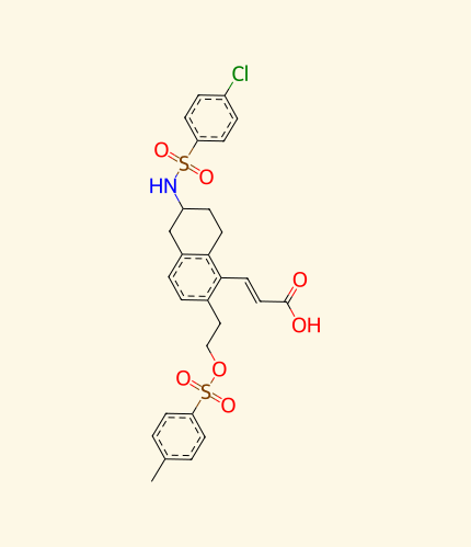 Cc1ccc(S(=O)(=O)OCCc2ccc3c(c2C=CC(=O)O)CCC(NS(=O)(=O)c2ccc(Cl)cc2)C3)cc1